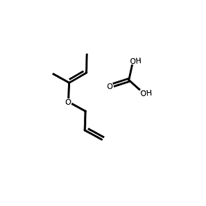 C=CCOC(C)=CC.O=C(O)O